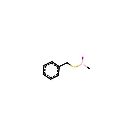 CB(I)SCc1ccccc1